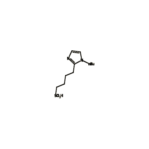 CCCCn1ccnc1CCCCS(=O)(=O)O